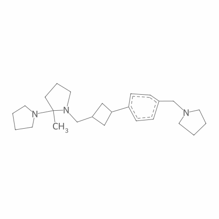 CC1(N2CCCC2)CCCN1CC1CC(c2ccc(CN3CCCC3)cc2)C1